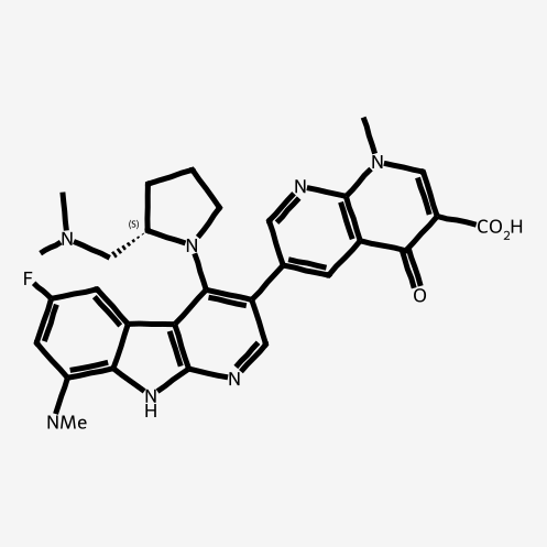 CNc1cc(F)cc2c1[nH]c1ncc(-c3cnc4c(c3)c(=O)c(C(=O)O)cn4C)c(N3CCC[C@H]3CN(C)C)c12